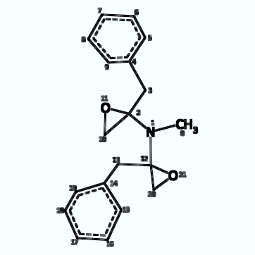 CN(C1(Cc2ccccc2)CO1)C1(Cc2ccccc2)CO1